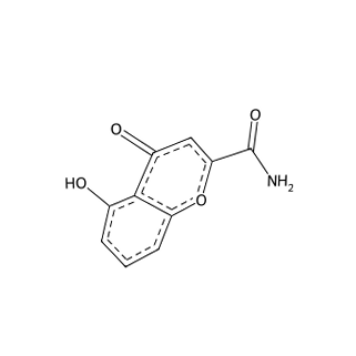 NC(=O)c1cc(=O)c2c(O)cccc2o1